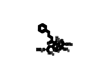 CCCC(N)(C(=O)OCC(C)C)P(=O)(O)C(C)(C(=O)CCCc1ccccc1)C(C)C[C@H](N)C(=O)O